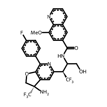 COc1cc(C(=O)NC(CO)[C@H](c2cc3c(c(-c4ccc(F)cc4)n2)OC[C@@]3(N)C(F)(F)F)C(F)(F)F)cc2cccnc12